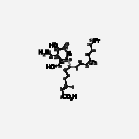 C/C(=C\C(=O)O)CCC[C@H](C)CCC[C@H](C)CCCC(C)C.Cc1ncc(CO)c(CN)c1O